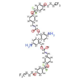 Nc1ccc(-c2ccc(N)cc2COC(=O)/C=C/c2ccc(OC(F)(F)c3ccc(OCCCC(F)(F)F)cc3)cc2)c(COC(=O)/C=C/c2ccc(OC(F)(F)c3ccc(OCCCC(F)(F)F)cc3)cc2)c1